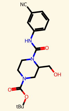 CC(C)(C)OC(=O)N1CCN(C(=O)Nc2cccc(C#N)c2)C(CO)C1